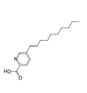 CCCCCCCCC=Cc1ccc(C(=O)O)nc1